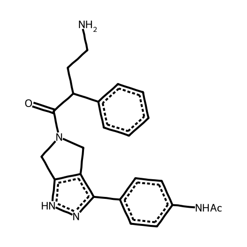 CC(=O)Nc1ccc(-c2n[nH]c3c2CN(C(=O)C(CCN)c2ccccc2)C3)cc1